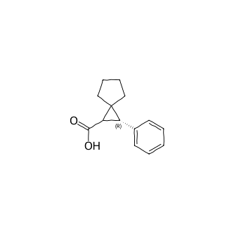 O=C(O)C1[C@@H](c2ccccc2)C12CCCC2